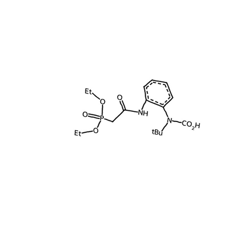 CCOP(=O)(CC(=O)Nc1ccccc1N(C(=O)O)C(C)(C)C)OCC